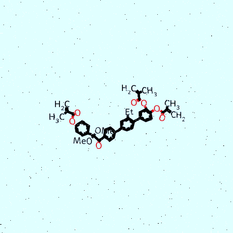 C=C(C)C(=O)Oc1ccc(C(OC)(OC)C(=O)c2ccc(-c3ccc(-c4ccc(OC(=O)C(=C)C)c(OC(=O)C(=C)C)c4)c(CC)c3)cc2)cc1